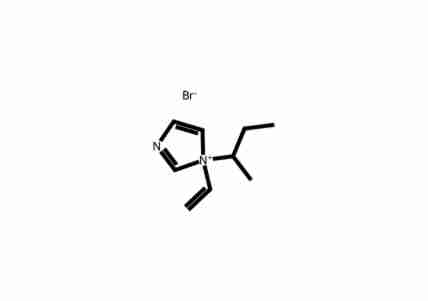 C=C[N+]1(C(C)CC)C=CN=C1.[Br-]